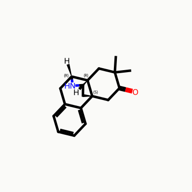 CC1(C)C[C@H]2[C@H]3Cc4ccccc4[C@@]2(CCN3)CC1=O